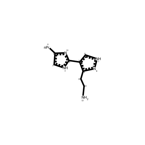 CCCc1c[nH]c(-c2c[nH]nc2CCN)n1